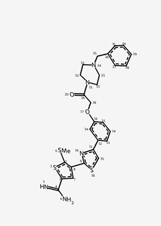 CSc1sc(C(=N)N)cc1-c1nc(-c2cccc(OCC(=O)N3CCN(Cc4ccccc4)CC3)c2)cs1